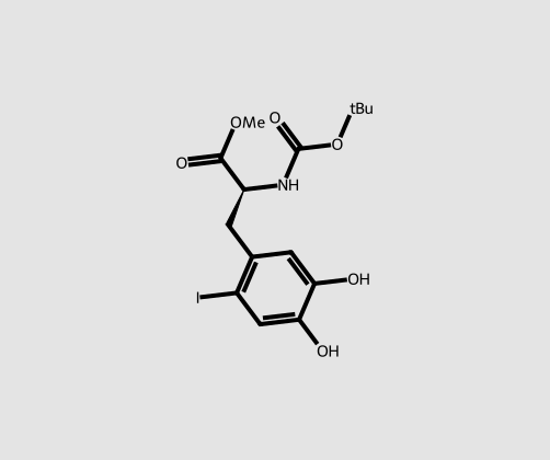 COC(=O)[C@H](Cc1cc(O)c(O)cc1I)NC(=O)OC(C)(C)C